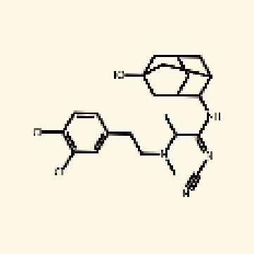 CC(/C(=N\C#N)NC1C2CC3CC1CC(O)(C3)C2)N(C)CCc1ccc(Cl)c(Cl)c1